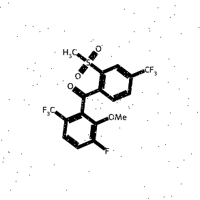 COc1c(F)ccc(C(F)(F)F)c1C(=O)c1ccc(C(F)(F)F)cc1S(C)(=O)=O